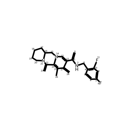 C=C(NCc1ccc(F)cc1F)C1=CN2CC3CCCCN3C(=C)C2=C(C)C1=C